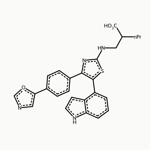 CCCC(CNc1nc(-c2ccc(-c3cnco3)cc2)c(-c2cccc3[nH]ccc23)s1)C(=O)O